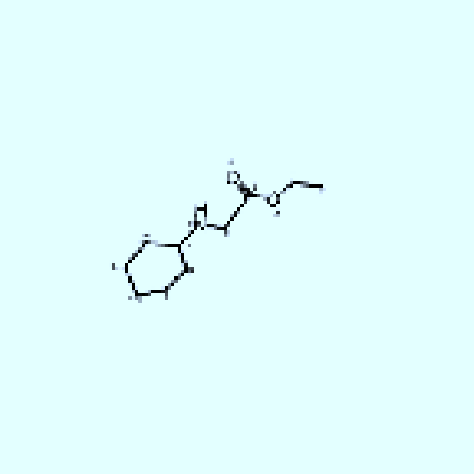 CCOC(=O)CNC1CCCCC1